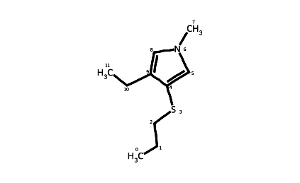 CCCSc1cn(C)cc1CC